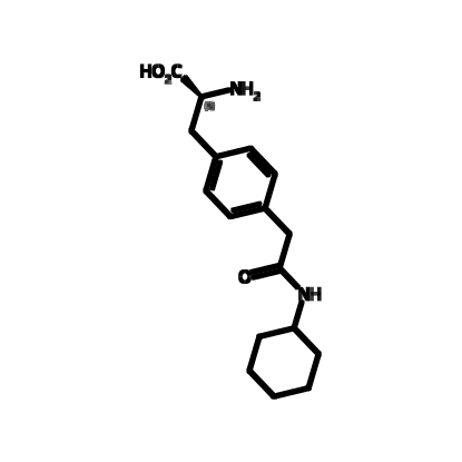 N[C@@H](Cc1ccc(CC(=O)NC2CCCCC2)cc1)C(=O)O